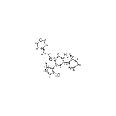 Cn1ncc(Cl)c1-c1cc(-c2ncccc2N)ccc1OCCN1CCOCC1